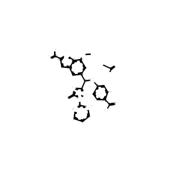 CC(=O)O.COc1cc(C(Nc2ccc(C(=N)N)cc2)c2nn(-c3ncccn3)c(=O)[nH]2)cc2cc(C(N)=O)oc12